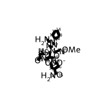 CON=CC(=O)N(c1nc(N)n(-c2ccccc2)n1)C1S[C@H]2CC(=O)N2C(C(=O)[O-])=C1C[n+]1ccc(C(N)=O)cc1